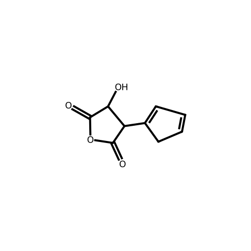 O=C1OC(=O)C(C2=CC=CC2)C1O